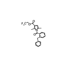 Cc1cc(C(=O)OCC(F)(F)F)c(C)n1C(=O)c1ccccc1Cc1ccccc1